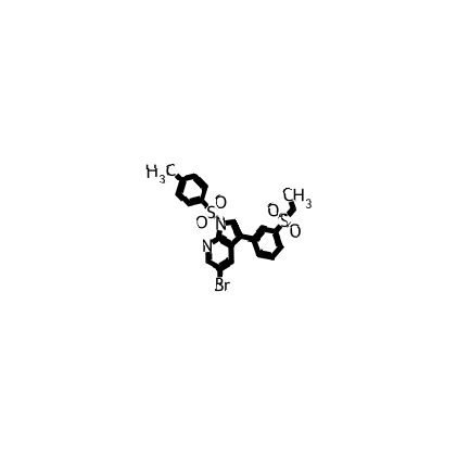 CCS(=O)(=O)c1cccc(-c2cn(S(=O)(=O)c3ccc(C)cc3)c3ncc(Br)cc23)c1